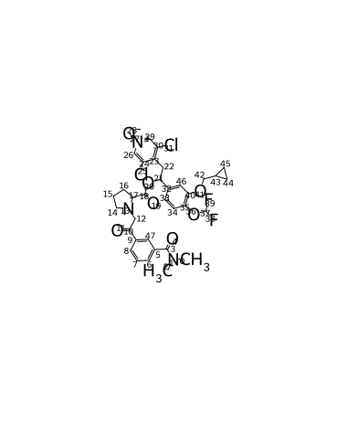 CN(C)C(=O)c1cccc(C(=O)CN2CCCC2C(=O)OC(Cc2c(Cl)c[n+]([O-])cc2Cl)c2ccc(OC(F)F)c(OCC3CC3)c2)c1